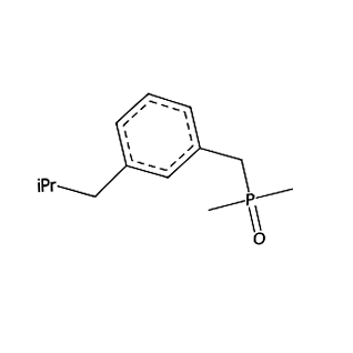 CC(C)Cc1cccc(CP(C)(C)=O)c1